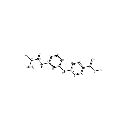 CCC(=O)c1ccc(Sc2cccc(NC(=O)C(C)N)c2)cc1